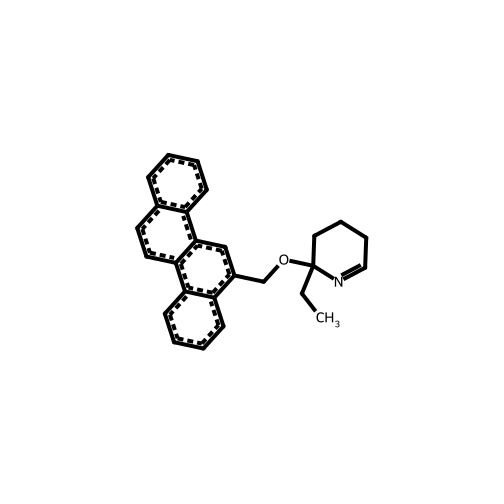 CCC1(OCc2cc3c4ccccc4ccc3c3ccccc23)CCCC=N1